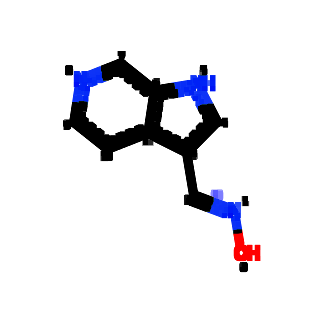 O/N=C/c1c[nH]c2cnccc12